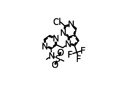 CN(c1nccnc1Cn1c(C(F)(F)F)cc2cnc(Cl)nc21)S(C)(=O)=O